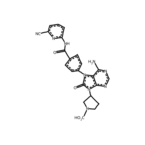 N#Cc1cccc(NC(=O)c2ccc(-n3c(=O)n(C4CCN(C(=O)O)C4)c4ncnc(N)c43)cc2)n1